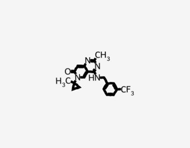 Cc1nc(NCc2cccc(C(F)(F)F)c2)c2cn(C3(C)CC3)c(=O)cc2n1